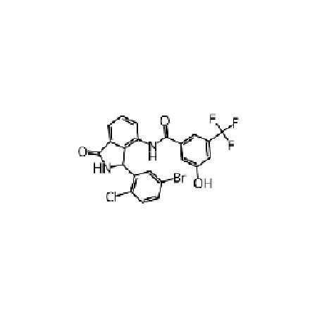 O=C(Nc1cccc2c1C(c1cc(Br)ccc1Cl)NC2=O)c1cc(O)cc(C(F)(F)F)c1